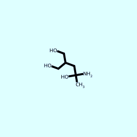 CC(N)(O)CC(CO)CO